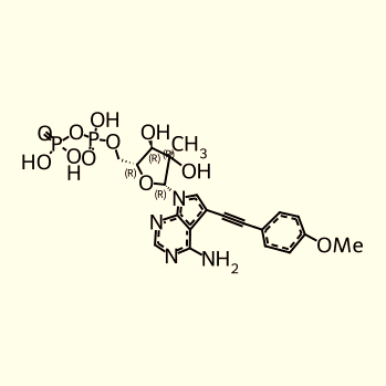 COc1ccc(C#Cc2cn([C@@H]3O[C@H](COP(=O)(O)OP(=O)(O)O)[C@@H](O)[C@@]3(C)O)c3ncnc(N)c23)cc1